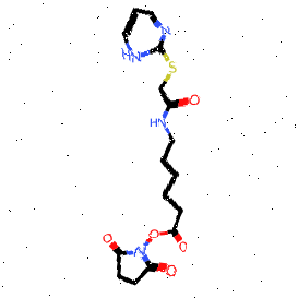 O=C(CSC1N=CC=CN1)NCCCCCC(=O)ON1C(=O)CCC1=O